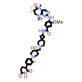 COc1cc(C(=O)NC2CC3(CCN(CC4(O)CCN(c5ccc(C6CCC(=O)NC6=O)cc5F)CC4)CC3)C2)ccc1Nc1ncc2c(n1)N(C(C)C)CC(F)(F)C(=O)N2C